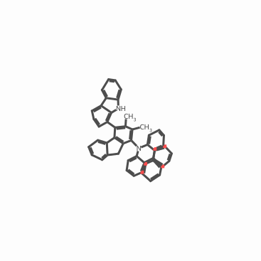 Cc1c(C)c(N(c2ccccc2-c2ccccc2)c2ccccc2-c2ccccc2)c2c(c1-c1cccc3c1[nH]c1ccccc13)-c1ccccc1C2